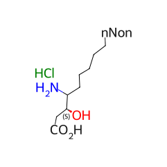 CCCCCCCCCCCCCCC(N)[C@@H](O)CC(=O)O.Cl